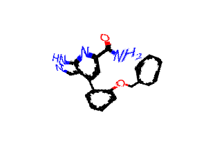 NC(=O)c1cc(-c2ccccc2OCc2ccccc2)c2cn[nH]c2n1